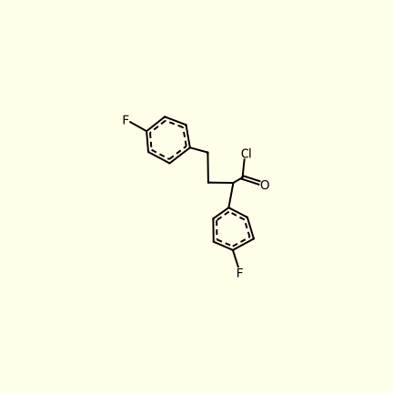 O=C(Cl)C(CCc1ccc(F)cc1)c1ccc(F)cc1